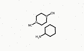 N#CN1CCN(C#N)CC1.NC1CCCCC1